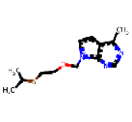 Cc1ncnc2c1ccn2COCCSC(C)C